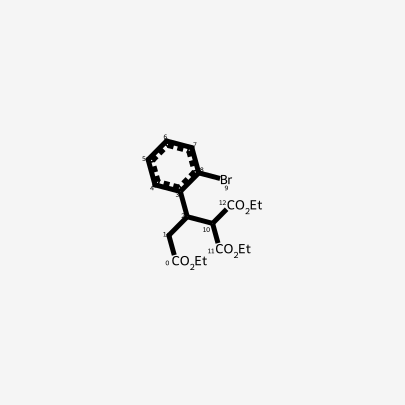 CCOC(=O)CC(c1ccccc1Br)C(C(=O)OCC)C(=O)OCC